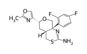 Cc1nc([C@H]2C[C@H]3CSC(N)=N[C@@]3(c3ccc(F)cc3F)CO2)co1